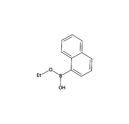 CCOB(O)c1cccc2ccccc12